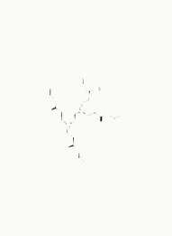 CCOC(=O)CCN(CCC(=O)OCC)CCN(CCC(=O)OCC)CCC(O)OCC